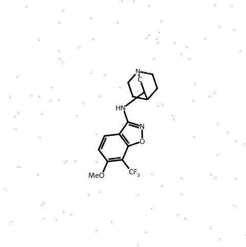 COc1ccc2c(NC3CN4CCC3CC4)noc2c1C(F)(F)F